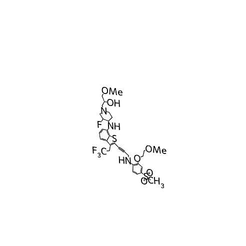 COCCOc1cc(S(C)(=O)=O)ccc1NCC#Cc1sc2c(NC3CCN(CC(O)COC)CC3F)cccc2c1CC(F)(F)F